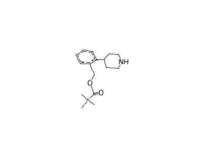 CC(C)(C)C(=O)OCc1ccccc1C1CCNCC1